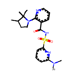 CC(C)N(C)c1cccc(S(=O)(=O)NC(=O)c2cccnc2N2CCC(C)C2(C)C)n1